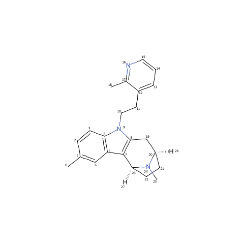 Cc1ccc2c(c1)c1c(n2CCc2cccnc2C)C[C@H]2CC[C@@H]1N2C